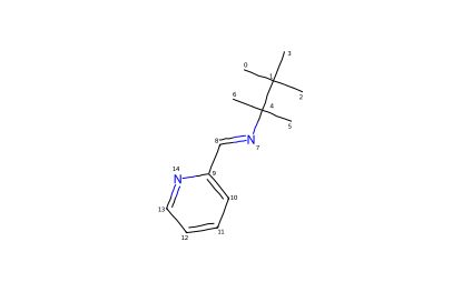 CC(C)(C)C(C)(C)/N=C/c1ccccn1